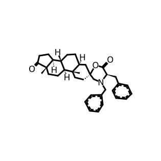 C[C@]12CC[C@@]3(C[C@@H]1CC[C@@H]1[C@@H]2CC[C@]2(C)C(=O)CC[C@@H]12)CN(Cc1ccccc1)[C@H](Cc1ccccc1)C(=O)O3